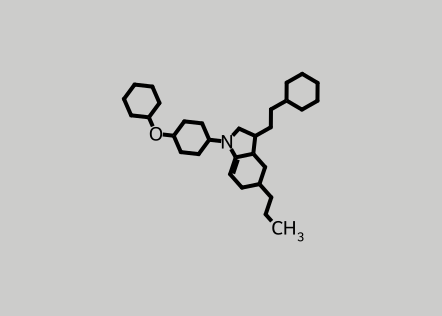 CCCC1CC=C2C(C1)C(CCC1CCCCC1)CN2C1CCC(OC2CCCCC2)CC1